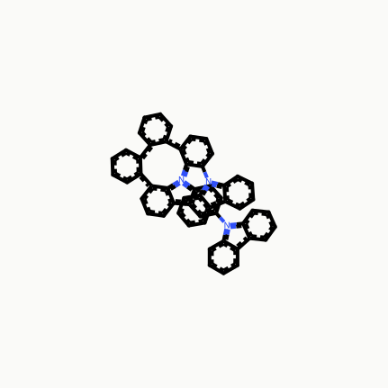 c1ccc2c(c1)c1ccccc1c1cccc3c4cc(-n5c6ccccc6c6ccccc65)ccc4n(c4c(-n5c6ccccc6c6ccccc65)cccc24)c13